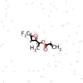 C=CC(=O)OC(C)C1CC(C(F)(F)F)O1